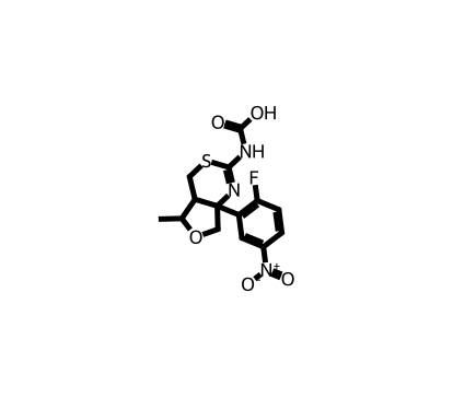 CC1OCC2(c3cc([N+](=O)[O-])ccc3F)N=C(NC(=O)O)SCC12